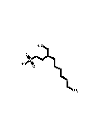 CCCCCCCC(CC)CCS(=O)(=O)O